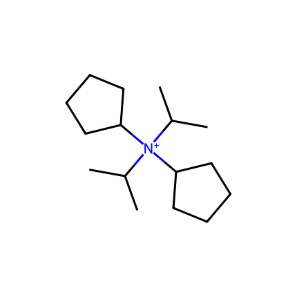 CC(C)[N+](C(C)C)(C1CCCC1)C1CCCC1